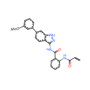 C=CC(=O)Nc1ccccc1C(=O)Nc1n[nH]c2cc(-c3cccc(OC)c3)ccc12